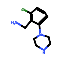 NCc1c(Cl)cccc1N1CCNCC1